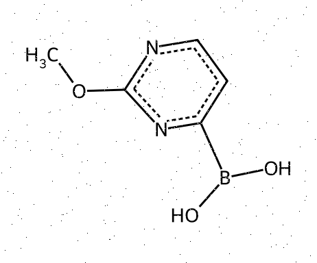 COc1nccc(B(O)O)n1